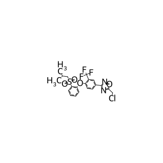 CC(C)CS(=O)(=O)c1ccccc1Oc1ccc(-c2noc(CCl)n2)cc1C(F)(F)F